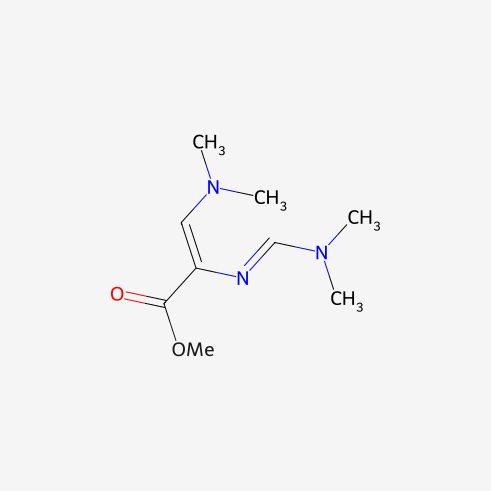 COC(=O)C(=CN(C)C)N=CN(C)C